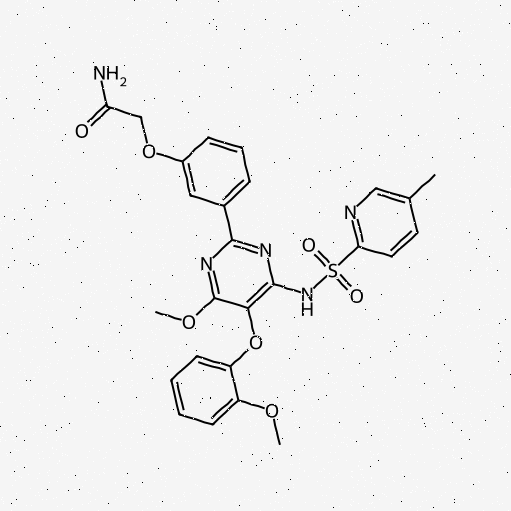 COc1ccccc1Oc1c(NS(=O)(=O)c2ccc(C)cn2)nc(-c2cccc(OCC(N)=O)c2)nc1OC